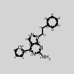 Nc1nc(-c2ccco2)c2cnn(CCc3ccccc3)c2n1